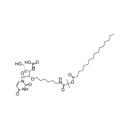 CCCCCCCCCCCCCCCC(=O)OC(C)(C)C(=O)NCCCCCCOC1C(O[PH](=O)O)[C@@H](CO)O[C@H]1n1ccc(=O)[nH]c1=O